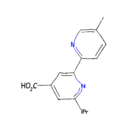 Cc1ccc(-c2cc(C(=O)O)cc(C(C)C)n2)nc1